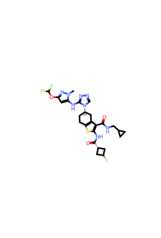 Cn1nc(OC(F)F)cc1Nc1nncn1[C@H]1CCc2sc(NC(=O)[C@H]3C[C@H](F)C3)c(C(=O)NCC3CC3)c2C1